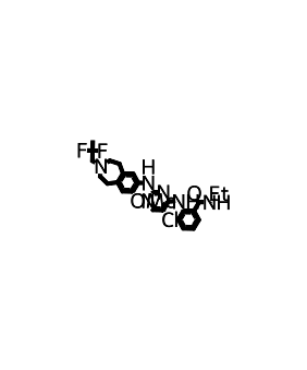 CCNC(=O)c1ccccc1Nc1nc(Nc2cc3c(cc2OC)CCN(CC(C)(F)F)CC3)ncc1Cl